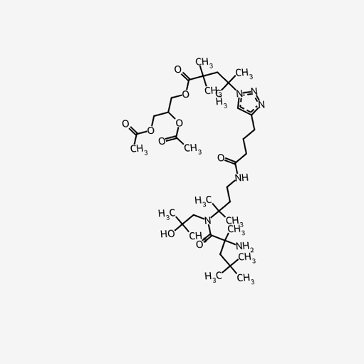 CC(=O)OCC(COC(=O)C(C)(C)CC(C)(C)n1cc(CCCC(=O)NCCC(C)(C)N(CC(C)(C)O)C(=O)C(C)(N)CC(C)(C)C)nn1)OC(C)=O